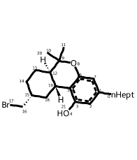 CCCCCCCc1cc(O)c2c(c1)OC(C)(C)[C@@H]1CC[C@@H](CBr)C[C@@H]21